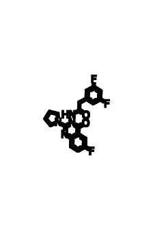 O=C(Cc1cc(F)cc(F)c1)Nn1c(N2CCCC2)nc2ccc(F)cc2c1=O